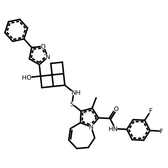 Cc1c(SNC2C3CCC34C2CC4(O)c2cc(-c3ccccc3)on2)c2n(c1C(=O)Nc1ccc(F)c(F)c1)CCCC=C2